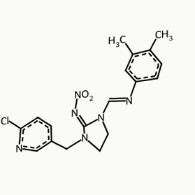 Cc1ccc(N=CN2CCN(Cc3ccc(Cl)nc3)C2=N[N+](=O)[O-])cc1C